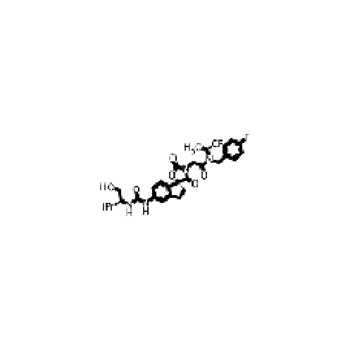 CC(C)[C@@H](CO)NC(=O)Nc1ccc2c(c1)CC[C@@]21OC(=O)N(CC(=O)N(Cc2ccc(F)cc2)[C@@H](C)C(F)(F)F)C1=O